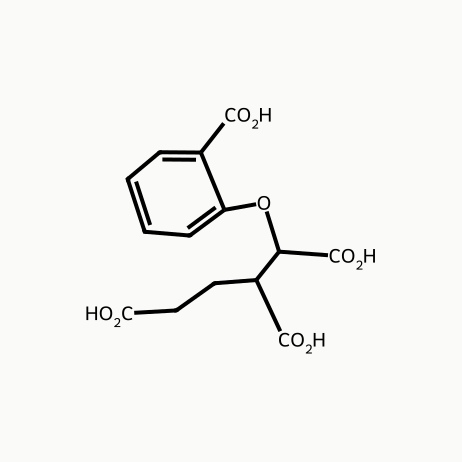 O=C(O)CCC(C(=O)O)C(Oc1ccccc1C(=O)O)C(=O)O